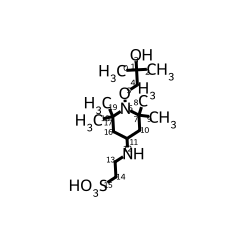 CC(C)(O)CON1C(C)(C)CC(NCCS(=O)(=O)O)CC1(C)C